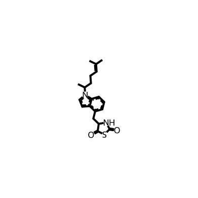 CC(C)=CCCC(C)n1ccc2c(CC3NC(=O)SC3=O)cccc21